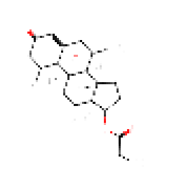 CCC(=O)OC1CC[C@H]2[C@@H]3C(C)CC4=CC(=O)CC(C)[C@]4(C=O)[C@@H]3CC[C@]12C